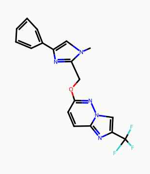 Cn1cc(-c2ccccc2)nc1COc1ccc2nc(C(F)(F)F)cn2n1